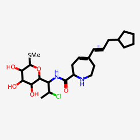 CSC1OC(C(NC(=O)C2CC=C(/C=C/CC3CCCC3)CCN2)C(C)Cl)C(O)C(O)C1O